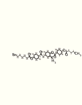 CCCCC(=O)Oc1ccc(C(=O)Oc2ccc(CC(=O)c3ccc(OC(=O)CCCCCBr)cc3)cc2C)cc1